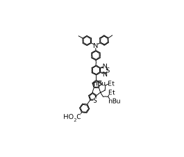 CCCCC(CC)CC1(CC(CC)CCCC)c2sc(-c3ccc(C(=O)O)cc3)cc2-c2cc(-c3ccc(-c4ccc(N(c5ccc(C)cc5)c5ccc(C)cc5)cc4)c4nsnc34)sc21